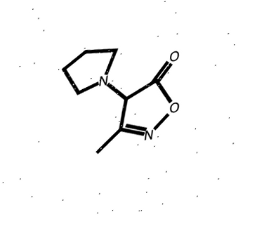 CC1=NOC(=O)C1N1CCCC1